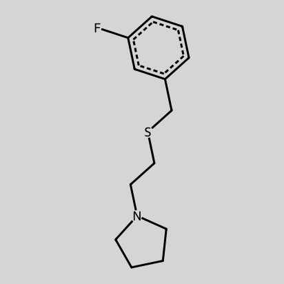 Fc1cccc(CSCCN2CCCC2)c1